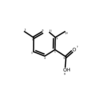 C=C(C)/C=C\C(C(=O)O)=C(C)C